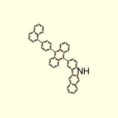 c1ccc2cc3c(cc2c1)[nH]c1ccc(-c2c4ccccc4c(-c4ccc(-c5cccc6ccccc56)cc4)c4ccccc24)cc13